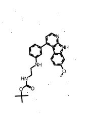 COc1ccc2c(c1)[nH]c1nccc(-c3cccc(NCCNC(=O)OC(C)(C)C)c3)c12